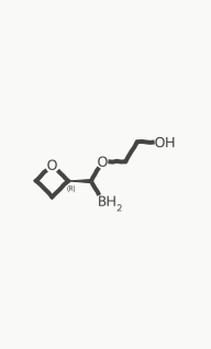 BC(OCCO)[C@H]1CCO1